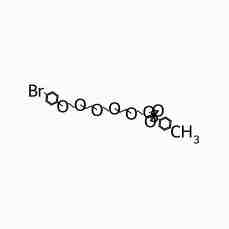 Cc1ccc(S(=O)(=O)OCCOCCOCCOCCOCCOc2ccc(Br)cc2)cc1